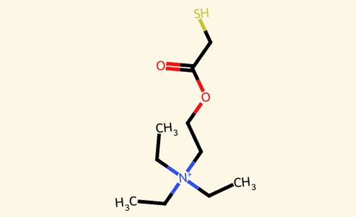 CC[N+](CC)(CC)CCOC(=O)CS